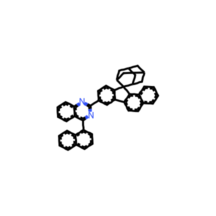 c1ccc2c(-c3nc(-c4ccc5c(c4)-c4ccc6ccccc6c4C54C5CC6CC(C5)CC4C6)nc4ccccc34)cccc2c1